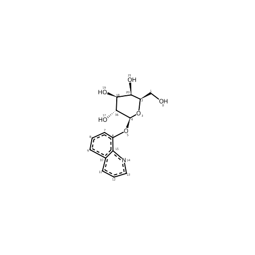 OC[C@H]1O[C@@H](Oc2cccc3cccnc23)[C@H](O)[C@@H](O)[C@H]1O